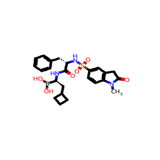 CN1C(=O)Cc2cc(S(=O)(=O)N[C@@H](Cc3ccccc3)C(=O)N[C@@H](CC3CCC3)B(O)O)ccc21